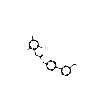 O=C(O)Cc1cccc(-c2ccc(NC(=O)Cc3c(O)cc(O)cc3O)cc2)c1